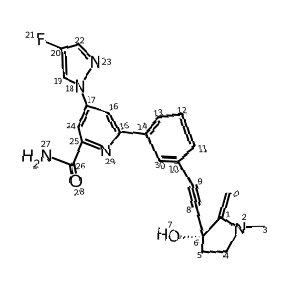 C=C1N(C)CC[C@@]1(O)C#Cc1cccc(-c2cc(-n3cc(F)cn3)cc(C(N)=O)n2)c1